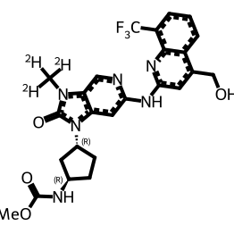 [2H]C([2H])([2H])n1c(=O)n([C@@H]2CC[C@@H](NC(=O)OC)C2)c2cc(Nc3cc(CO)c4cccc(C(F)(F)F)c4n3)ncc21